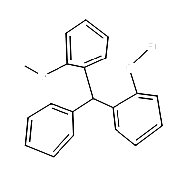 CCOc1ccccc1[C](c1ccccc1)c1ccccc1OCC